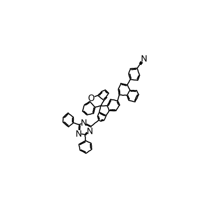 N#Cc1ccc(-c2ccc(-c3ccc4c(c3)C3(c5ccccc5Oc5ccccc53)c3cc(-c5nc(-c6ccccc6)nc(-c6ccccc6)n5)ccc3-4)c3ccccc23)cc1